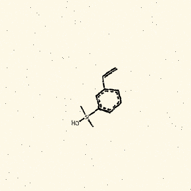 C=Cc1cccc([Si](C)(C)O)c1